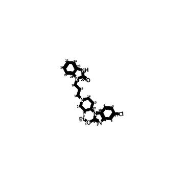 CCOc1nc2cc(Cl)ccc2n1C1CCN(CCCn2c(=O)[nH]c3ccccc32)CC1